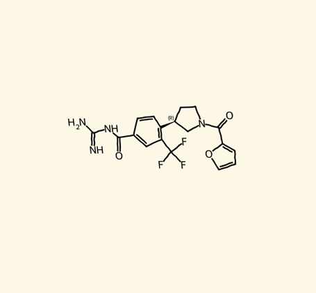 N=C(N)NC(=O)c1ccc([C@H]2CCN(C(=O)c3ccco3)C2)c(C(F)(F)F)c1